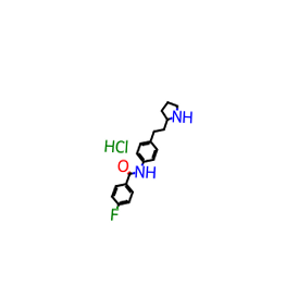 Cl.O=C(Nc1ccc(CCC2CCCN2)cc1)c1ccc(F)cc1